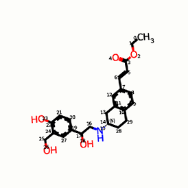 CCOC(=O)C=Cc1ccc2c(c1)C[C@@H](NCC(O)c1ccc(O)c(CO)c1)CC2